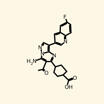 CC(=O)c1c(C2CCC(C(=O)O)CC2)nc2c(-c3cnc4ccc(F)cc4c3)cnn2c1N